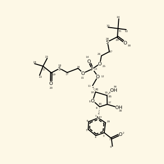 CC(=O)c1ccc[n+]([C@@H]2O[C@H](COP(=O)(OCCSC(=O)C(C)(C)C)OCCSC(=O)C(C)(C)C)[C@H](O)C2O)c1